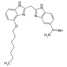 CCCCCCCOc1cccc2[nH]c(Cc3nc4cc(C(=N)N)ccc4[nH]3)nc12